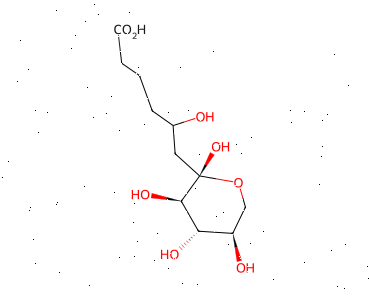 O=C(O)CCCC(O)C[C@]1(O)OC[C@@H](O)[C@H](O)[C@H]1O